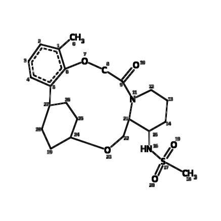 Cc1cccc2c1OCC(=O)N1CCCC(NS(C)(=O)=O)C1COC1CCC2CC1